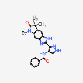 CCN1C(=O)C(C)(C)c2cc3[nH]c(-c4n[nH]cc4NC(=O)c4ccccc4)nc3cc21